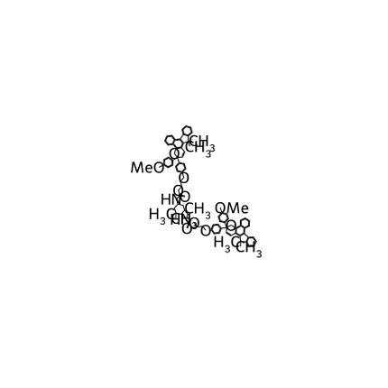 COc1ccc(C2(c3ccc(OCCOC(=O)NCC4(C)CC(NC(=O)OCCOc5ccc(C6(c7ccc(OC)cc7)C=Cc7c8c(c9ccccc9c7O6)-c6ccccc6C8(C)C)cc5)CC(C)(C)C4)cc3)C=Cc3c4c(c5ccccc5c3O2)-c2ccccc2C4(C)C)cc1